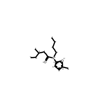 CCCCN(C(=O)CC(C)CC)c1ccc(C)o1